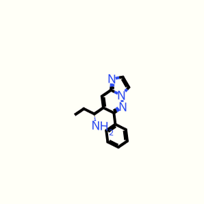 CC[C@@H](N)c1cc2nccn2nc1-c1ccccc1